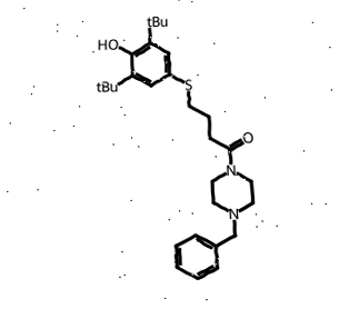 CC(C)(C)c1cc(SCCCC(=O)N2CCN(Cc3ccccc3)CC2)cc(C(C)(C)C)c1O